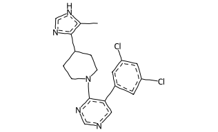 Cc1[nH]cnc1C1CCN(c2ncncc2-c2cc(Cl)cc(Cl)c2)CC1